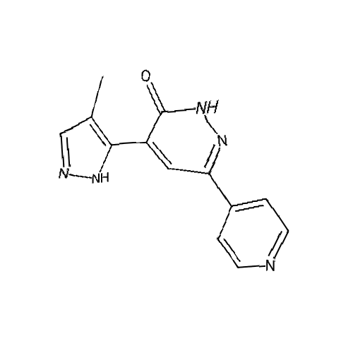 Cc1cn[nH]c1-c1cc(-c2ccncc2)n[nH]c1=O